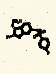 CC(C)c1nc2cc(NS(=O)(=O)c3ccc(F)cc3)ccc2n1CC(=O)O